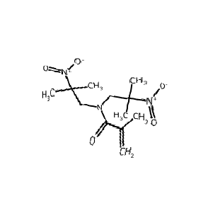 C=C(C)C(=O)N(CC(C)(C)[N+](=O)[O-])CC(C)(C)[N+](=O)[O-]